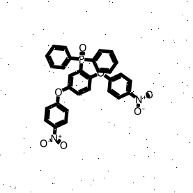 O=[N+]([O-])c1ccc(Oc2ccc(Oc3ccc([N+](=O)[O-])cc3)c(P(=O)(c3ccccc3)c3ccccc3)c2)cc1